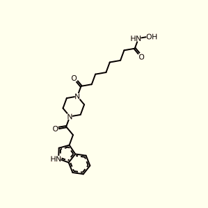 O=C(CCCCCCC(=O)N1CCN(C(=O)Cc2c[nH]c3ccccc23)CC1)NO